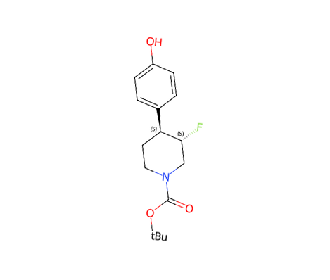 CC(C)(C)OC(=O)N1CC[C@@H](c2ccc(O)cc2)[C@H](F)C1